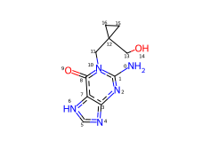 Nc1nc2nc[nH]c2c(=O)n1CC1(CO)CC1